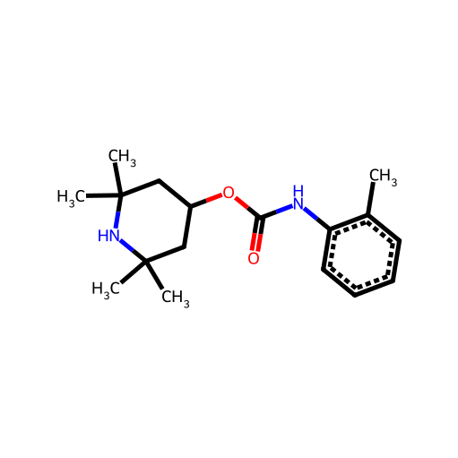 Cc1ccccc1NC(=O)OC1CC(C)(C)NC(C)(C)C1